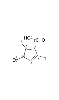 CCn1cc(C)cc1C.O=CO